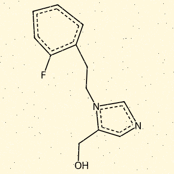 OCc1cncn1CCc1ccccc1F